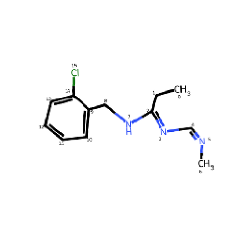 CC/C(=N\C=N/C)NCc1ccccc1Cl